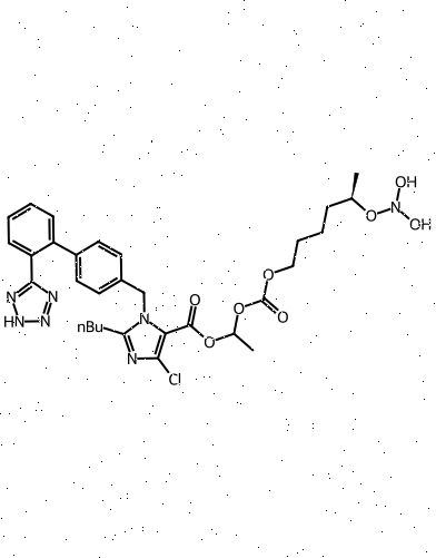 CCCCc1nc(Cl)c(C(=O)OC(C)OC(=O)OCCCC[C@@H](C)ON(O)O)n1Cc1ccc(-c2ccccc2-c2nn[nH]n2)cc1